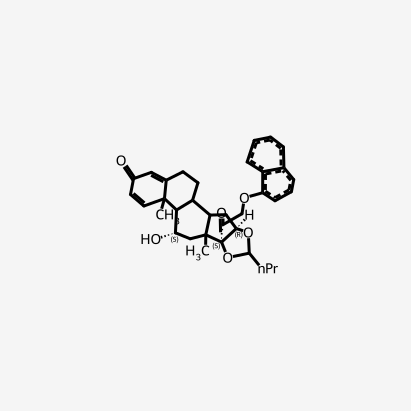 CCCC1O[C@@H]2CC3C4CCC5=CC(=O)C=CC5(C)C4[C@@H](O)CC3(C)[C@]2(C(=O)COc2cccc3ccccc23)O1